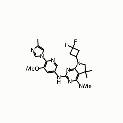 CNc1nc(Nc2cnc(-n3cnc(C)c3)c(OC)c2)nc2c1C(C)(C)CN2C1CC(F)(F)C1